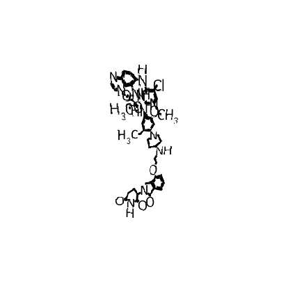 CCc1cc(Nc2ncc(Cl)c(Nc3ccc4nccnc4c3NS(C)(=O)=O)n2)c(OC)cc1N1CCC(NCCOc2cccc3c2CN(C2CCC(=O)NC2=O)C3=O)CC1